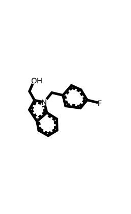 OCc1cc2ccccc2n1Cc1ccc(F)cc1